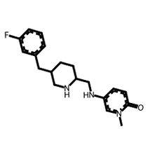 Cn1cc(NCC2CCC(Cc3cccc(F)c3)CN2)ccc1=O